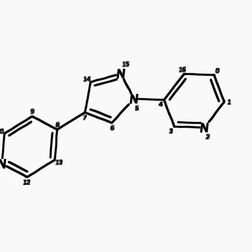 c1cncc(-n2cc(-c3ccncc3)cn2)c1